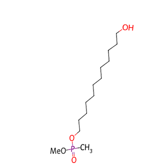 COP(C)(=O)OCCCCCCCCCCCCO